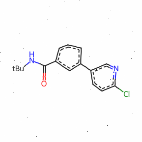 CC(C)(C)NC(=O)c1cccc(-c2ccc(Cl)nc2)c1